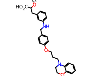 CCOC(Cc1cccc(NCc2ccc(OCCCN3CCOc4ccccc43)cc2)c1)C(=O)O